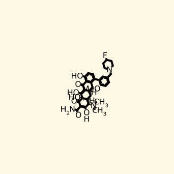 COc1ccc(CN2CCC(F)CC2)cc1-c1ccc(O)c2c1C[C@H]1C[C@H]3[C@H](N(C)C)C(O)=C(C(N)=O)C(=O)[C@@]3(O)C(O)=C1C2=O